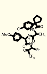 COc1ccc(C(NC(=O)C(C)NC(=O)C2(c3ccc(Cl)cc3)CCCC2)C(=O)NC(C(=O)C(F)(F)F)C(C)C)cc1